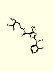 CC(CCOC(=O)c1sc(N(C)c2ccccc2Cl)nc1C)=C(F)F